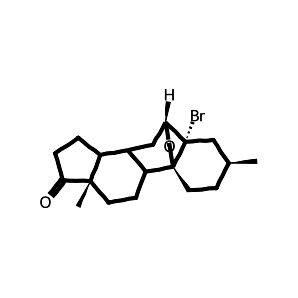 C[C@H]1CC[C@]23CO[C@H](CC4C2CC[C@]2(C)C(=O)CCC42)[C@@]3(Br)C1